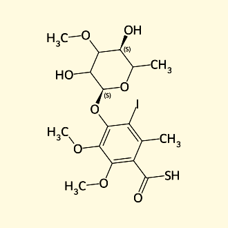 COc1c(O[C@@H]2OC(C)[C@H](O)C(OC)C2O)c(I)c(C)c(C(=O)S)c1OC